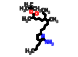 CCCCc1ccc(CCCCC(C)C(CCC)CCCC(C)C(=O)OC(C)(C)C)nc1N